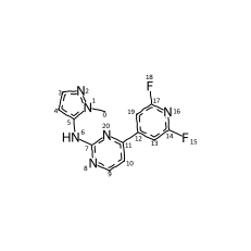 Cn1nccc1Nc1nccc(-c2cc(F)nc(F)c2)n1